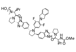 COC(=O)N[C@H](C(=O)N1CCC[C@H]1c1nc2cc([C@H]3CC[C@H](c4ccc5[nH]c([C@@H]6CCCN6C(=O)[C@H](C(C)C)N(C)C(=O)O)nc5c4)N3c3cc(F)c(N4Cc5ccccc5C4)c(F)c3)ccc2[nH]1)C(C)C